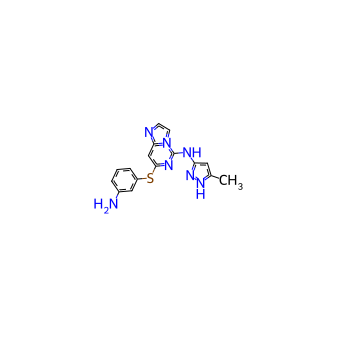 Cc1cc(Nc2nc(Sc3cccc(N)c3)cc3nccn23)n[nH]1